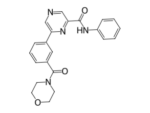 O=C(Nc1ccccc1)c1cncc(-c2cccc(C(=O)N3CCOCC3)c2)n1